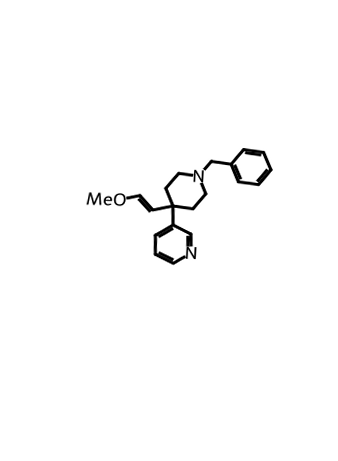 COC=CC1(c2cccnc2)CCN(Cc2ccccc2)CC1